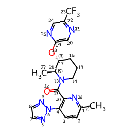 Cc1ccc(-n2nccn2)c(C(=O)N2CCC[C@@H](Oc3cnc(C(F)(F)F)cn3)[C@@H]2C)n1